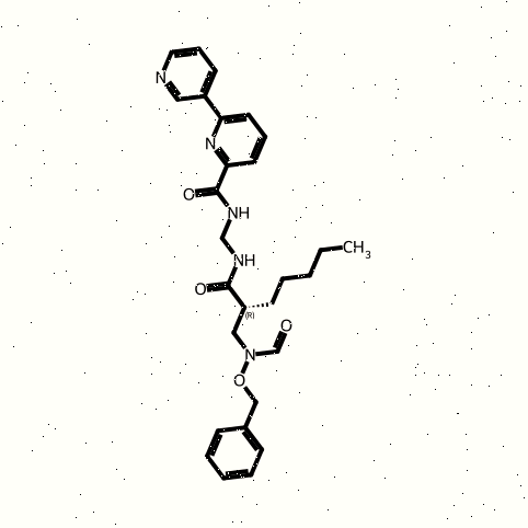 CCCCC[C@H](CN(C=O)OCc1ccccc1)C(=O)NCNC(=O)c1cccc(-c2cccnc2)n1